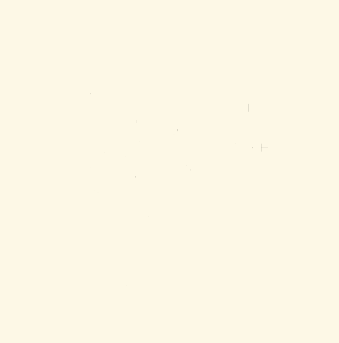 CCCCOCC1OC(c2cc(C=O)ccc2Cl)[C@H](OCCCC)C(OCCCC)[C@@H]1OCCCC